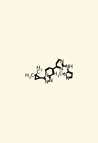 Cn1nccc1Nc1nccc(-c2ccn3c(C4CC4(C)C)nnc3c2)n1